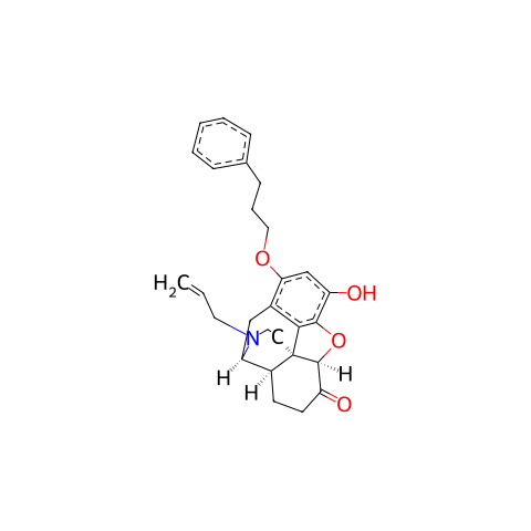 C=CCN1CC[C@]23c4c5c(OCCCc6ccccc6)cc(O)c4O[C@H]2C(=O)CC[C@H]3[C@H]1C5